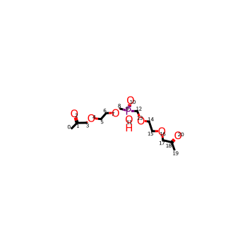 CC(=O)COCCOCP(=O)(O)COCCOCC(C)=O